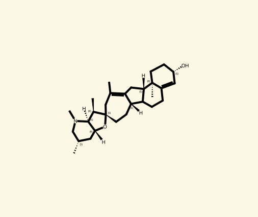 CC1=C2C[C@H]3C(CCC4=C[C@@H](O)CC[C@@]43C)[C@@H]2CC[C@@]2(C1)O[C@@H]1C[C@H](C)CN(C)[C@H]1[C@H]2C